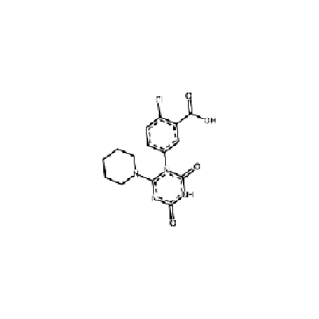 O=C(O)c1cc(-n2c(N3CCCCC3)nc(=O)[nH]c2=O)ccc1Cl